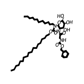 CCCCCCCCCCCCCCCCCCOC(=O)N(CCCCCCCCCCCC)[C@@H]1O[C@H](CO)[C@@H](O)[C@H](O)[C@H]1NC(=O)CNC(=O)OCc1ccccc1